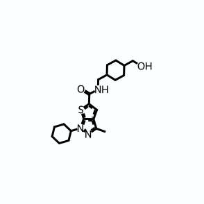 Cc1nn(C2CCCCC2)c2sc(C(=O)NCC3CCC(CO)CC3)cc12